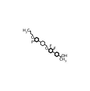 C=CCCOc1ccc(C2CCC(COc3ccc(-c4ccc(C(C)O)cc4)c(F)c3F)CC2)cc1F